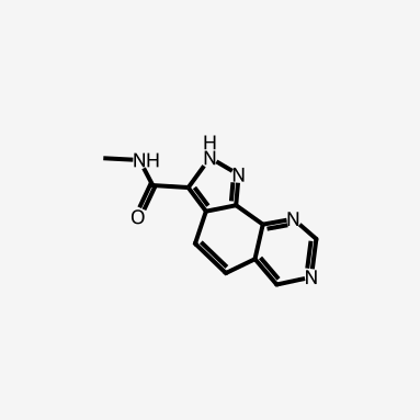 CNC(=O)c1[nH]nc2c1ccc1cncnc12